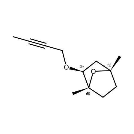 CC#CCO[C@H]1C[C@]2(C)CC[C@@]1(C)O2